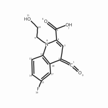 O=C=C1C=C(C(=O)O)N(CCO)c2ccc(F)cc21